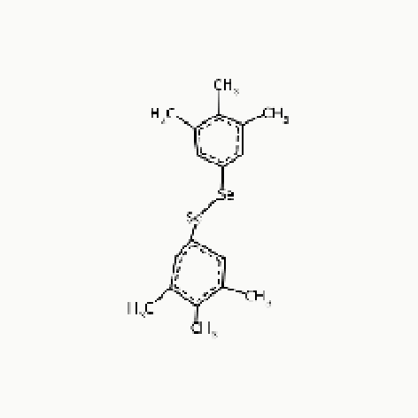 Cc1cc([Se][Se]c2cc(C)c(C)c(C)c2)cc(C)c1C